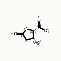 O=C1CC[C@@H](C(=O)[O-])N1.[Ag+]